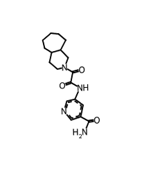 NC(=O)c1cncc(NC(=O)C(=O)N2CCC3CCCCCC3C2)c1